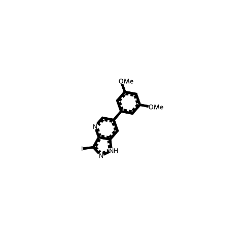 COc1cc(OC)cc(-c2cnc3c(I)n[nH]c3c2)c1